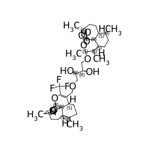 C[C@@H]1CC[C@H]2[C@@H](C)[C@@](C)(OC[C@@H](O)[C@H](O)COCC3=C(C(F)(F)F)O[C@@H]4O[C@]5(C)CC[C@H]6[C@H](C)CC[C@@H]3[C@@]46OO5)O[C@@H]3O[C@]4(C)CC[C@@H]1[C@]32OO4